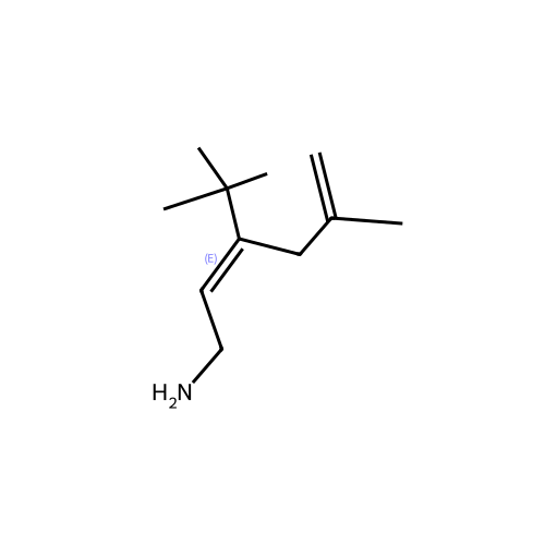 C=C(C)C/C(=C\CN)C(C)(C)C